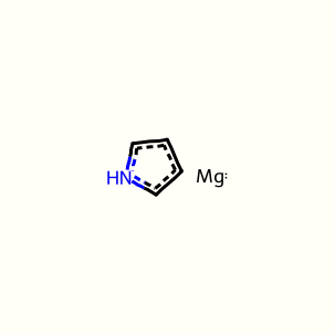 [Mg].c1cc[nH]c1